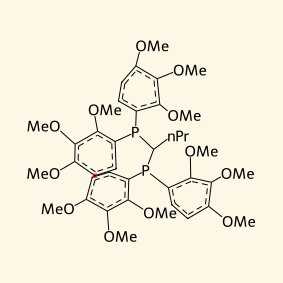 CCCC(P(c1ccc(OC)c(OC)c1OC)c1ccc(OC)c(OC)c1OC)P(c1ccc(OC)c(OC)c1OC)c1ccc(OC)c(OC)c1OC